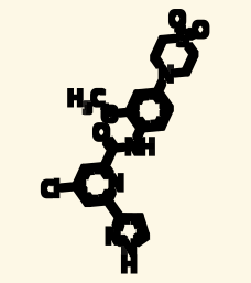 COc1cc(N2CCS(=O)(=O)CC2)ccc1NC(=O)c1cc(Cl)cc(-c2cc[nH]n2)n1